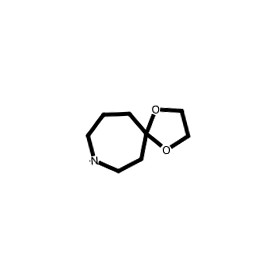 C1C[N]CCC2(C1)OCCO2